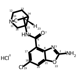 Cl.Nc1nc2c(C(=O)N[C@@H]3CN4CCC3CC4)cc(Cl)cc2o1